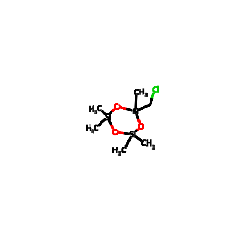 C[Si]1(C)O[Si](C)(C)O[Si](C)(CCl)O1